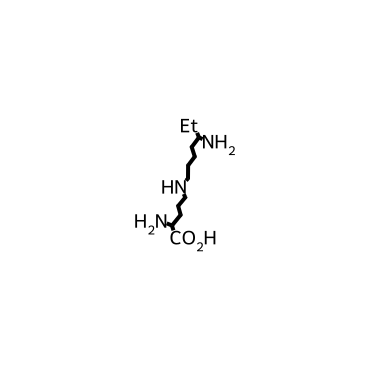 CCC(N)CCCCNCCCC(N)C(=O)O